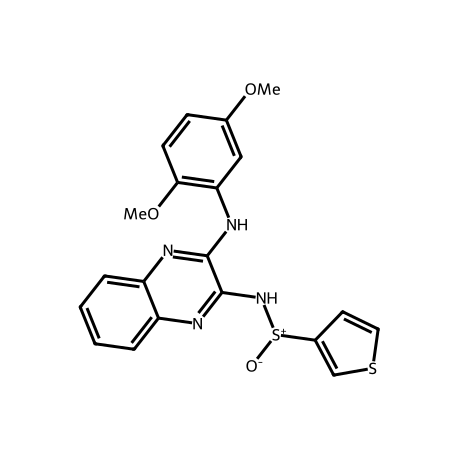 COc1ccc(OC)c(Nc2nc3ccccc3nc2N[S+]([O-])c2ccsc2)c1